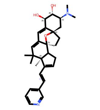 CN(C)[C@H]1C[C@@]23CC[C@@]4(O2)C(=CC(C)(C)[C@]2(C)C(/C=C/c5cccnc5)=CCC42)C=C3[C@@H](O)[C@@H]1O